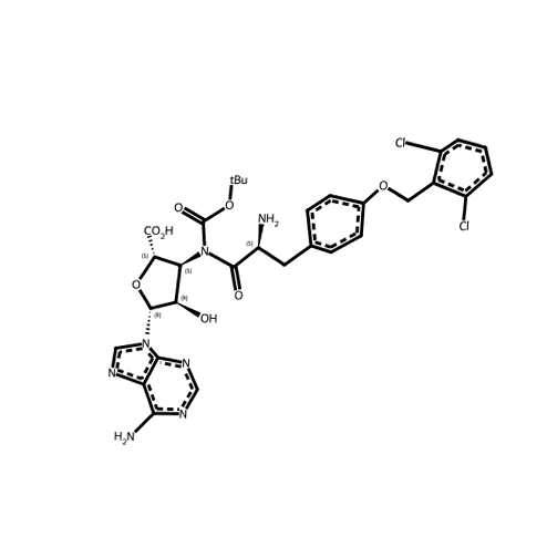 CC(C)(C)OC(=O)N(C(=O)[C@@H](N)Cc1ccc(OCc2c(Cl)cccc2Cl)cc1)[C@H]1[C@@H](O)[C@H](n2cnc3c(N)ncnc32)O[C@@H]1C(=O)O